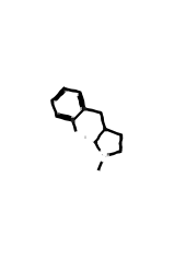 CN1CCC(Cc2ccccc2C(C)(C)C)C1